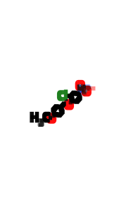 COc1ccc(COc2ccc([N+](=O)[O-])cc2Cl)cc1